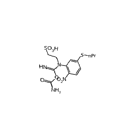 CCCSc1ccc([N+](=O)[O-])c(N(CCS(=O)(=O)O)C(=N)OC(N)=O)c1